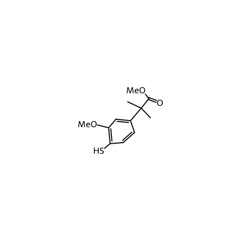 COC(=O)C(C)(C)c1ccc(S)c(OC)c1